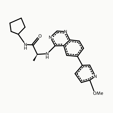 COc1ccc(-c2ccc3ncnc(N[C@@H](C)C(=O)NC4CCCC4)c3c2)cn1